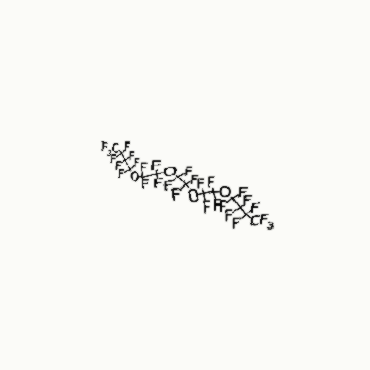 FC(F)(F)C(F)(F)C(F)(F)C(F)(F)OC(F)(F)C(F)(F)OC(F)(F)C(F)(F)OC(F)(F)C(F)(F)OC(F)(F)C(F)(F)C(F)(F)C(F)(F)F